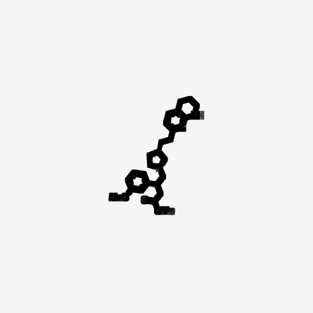 COC(=O)CC(CN1CC[C@@H](CCc2ccc3c(n2)NCCC3)C1)c1cccc(OC)c1